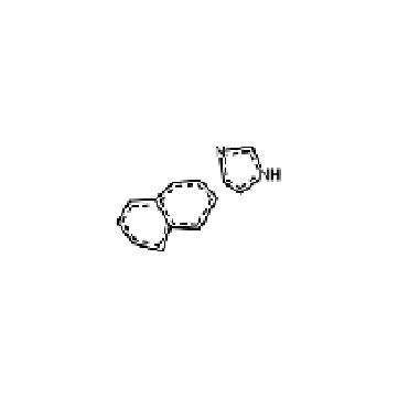 c1c[nH]cn1.c1ccc2ccccc2c1